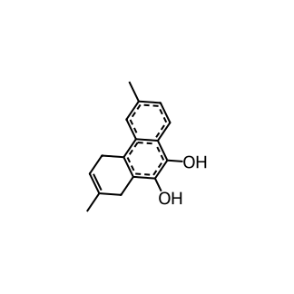 CC1=CCc2c(c(O)c(O)c3ccc(C)cc23)C1